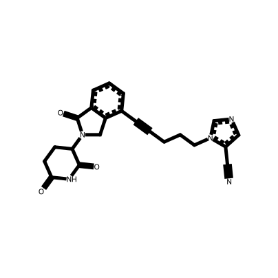 N#Cc1cncn1CCCC#Cc1cccc2c1CN(C1CCC(=O)NC1=O)C2=O